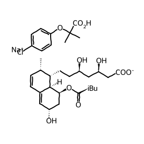 CC(C)(Oc1ccc(Cl)cc1)C(=O)O.CC[C@H](C)C(=O)O[C@H]1C[C@H](O)C=C2C=C[C@H](C)[C@H](CC[C@@H](O)C[C@@H](O)CC(=O)[O-])[C@H]21.[Na+]